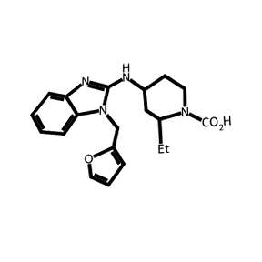 CCC1CC(Nc2nc3ccccc3n2Cc2ccco2)CCN1C(=O)O